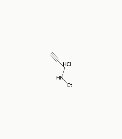 C#CCNCC.Cl